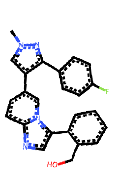 Cn1cc(-c2ccc3ncc(-c4ccccc4CO)n3c2)c(-c2ccc(F)cc2)n1